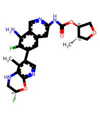 Cc1c(-c2cc3cc(NC(=O)O[C@H]4COC[C@@H]4C)ncc3c(N)c2F)cnc2c1NC[C@@H](F)O2